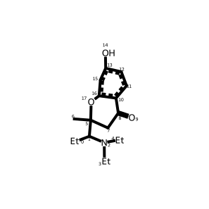 CCC(N(CC)CC)C1(C)CC(=O)c2ccc(O)cc2O1